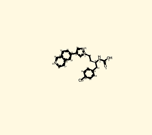 O=C(O)N[C@H](CCn1cc(-c2ccc3cnccc3c2)cn1)Cc1ccc(Cl)cc1